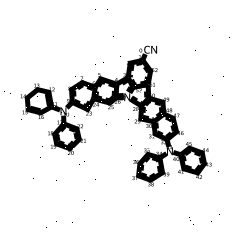 N#Cc1cc2c3cc4ccc(N(C5=CCCC=C5)c5ccccc5)cc4cc3n3c4cc5cc(N(c6ccccc6)c6ccccc6)ccc5cc4c(c1)c23